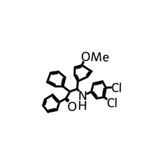 COc1ccc(C(Nc2ccc(Cl)c(Cl)c2)C(C(=O)c2ccccc2)c2ccccc2)cc1